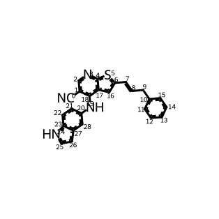 N#Cc1cnc2sc(C=CCc3ccccc3)cc2c1Nc1ccc2[nH]ccc2c1